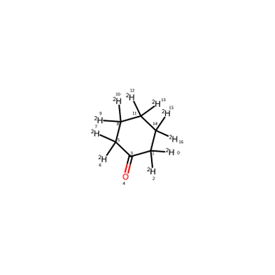 [2H]C1([2H])C(=O)C([2H])([2H])C([2H])([2H])C([2H])([2H])C1([2H])[2H]